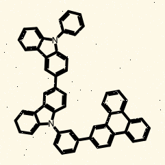 C1=c2c(n(-c3cccc(-c4ccc5c6ccccc6c6ccccc6c5c4)c3)c3ccc(-c4ccc5c(c4)c4ccccc4n5-c4ccccc4)cc23)=CCC1